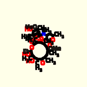 C#CCCN(C)[C@H]1C[C@@H](C)O[C@@H](O[C@@H]2[C@@H](C)[C@H](O[C@@H]3C[C@@](C)(OC)[C@@H](O)[C@H](C)O3)[C@@H](C)C(=O)O[C@H](CC)[C@@](C)(O)[C@H](O)[C@@H](C)C(=O)[C@H](C)C[C@@]2(C)OC)[C@@H]1O